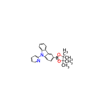 CC1(C)OB(c2ccc3c(c2)c2ccccc2n3-c2ccccn2)OC1(C)C